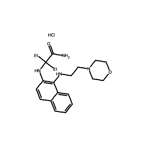 CCC(CC)(Nc1ccc2ccccc2c1NCCN1CCOCC1)C(N)=O.Cl